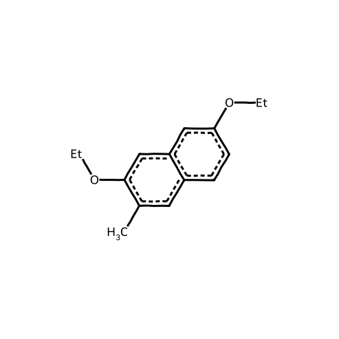 CCOc1ccc2cc(C)c(OCC)cc2c1